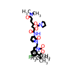 CN(C)C(=O)/C=C/CCC(OC(=O)N1CCCC1)C(=O)Nc1cccn(Cc2cc3cc(F)cc(CC(C)(C)C)c3n2C(=O)OC(C)(C)C)c1=O